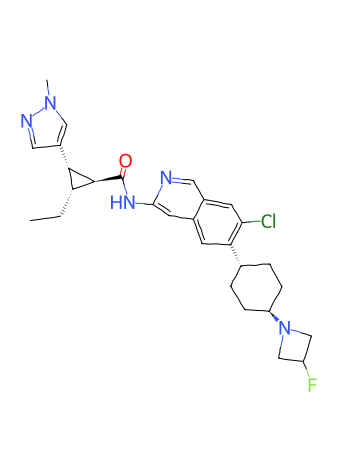 CC[C@H]1[C@H](C(=O)Nc2cc3cc([C@H]4CC[C@H](N5CC(F)C5)CC4)c(Cl)cc3cn2)[C@H]1c1cnn(C)c1